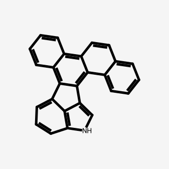 c1ccc2c(c1)ccc1c3ccccc3c3c(c21)-c1c[nH]c2cccc-3c12